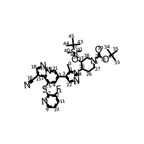 Cc1c(-c2cc(Sc3ncccc3F)c3c(C#N)cnn3c2)cnn1C1CCN(C(=O)OC(C)(C)C)CC1O[Si](C)(C)C(C)(C)C